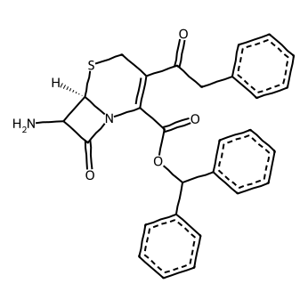 NC1C(=O)N2C(C(=O)OC(c3ccccc3)c3ccccc3)=C(C(=O)Cc3ccccc3)CS[C@H]12